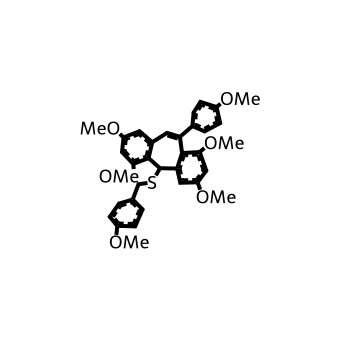 COc1ccc(CSC2c3cc(OC)cc(OC)c3C(c3ccc(OC)cc3)=Cc3cc(OC)cc(OC)c32)cc1